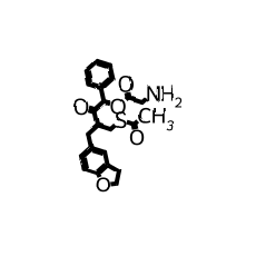 CC(=O)SCC(Cc1ccc2c(c1)CCO2)C(=O)C(OC(=O)CN)c1ccccc1